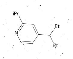 CCC(CC)c1ccnc(C(C)C)c1